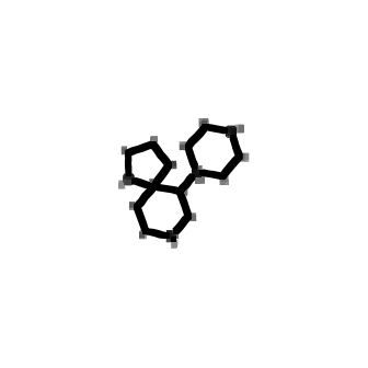 C1COC2(C1)CC[N]CC2N1CCOCC1